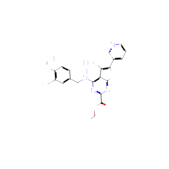 CCOC(=O)c1nc(NCc2ccc(OC)c(Cl)c2)c2c(C)c(-c3cccnc3)sc2n1